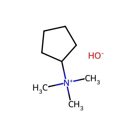 C[N+](C)(C)C1CCCC1.[OH-]